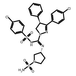 NS(=O)(=O)N1CC[C@@H](/N=C(\NS(=O)(=O)c2ccc(Cl)cc2)N2C[C@@H](c3ccccc3)C(c3ccc(Cl)cc3)=N2)C1